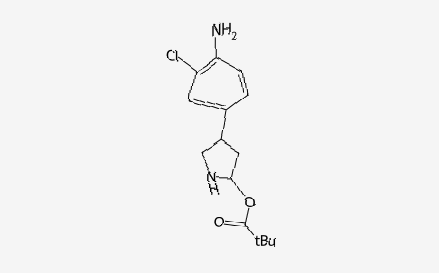 CC(C)(C)C(=O)OC1CC(c2ccc(N)c(Cl)c2)CN1